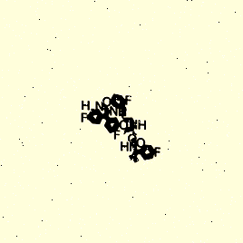 CC(C)[C@@H](NC(=O)OC[C@H]1NC[C@@H](CCc2c(F)cccc2N[C@H](C(N)=O)C(c2ccc(F)cc2)c2ccc(F)cc2)O[C@H]1C)c1ccc(F)cc1